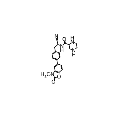 Cn1c(=O)oc2ccc(-c3ccc(CC(C#N)NC(=O)C4CNCCN4)cc3)cc21